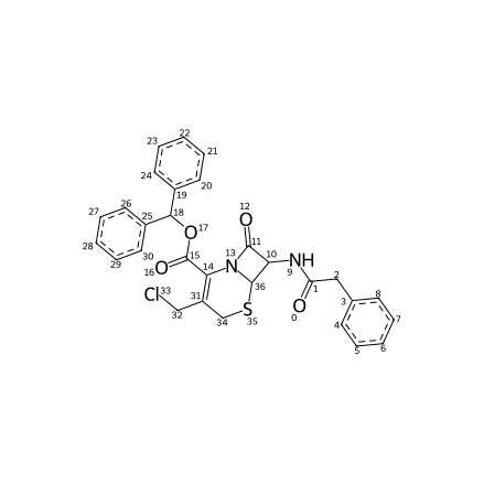 O=C(Cc1ccccc1)NC1C(=O)N2C(C(=O)OC(c3ccccc3)c3ccccc3)=C(CCl)CSC12